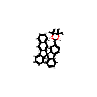 CC1(C)OB(c2ccc3c(c2)[C@@]2(c4ccccc4-3)c3ccccc3-c3cc4ccccc4cc32)OC1(C)C